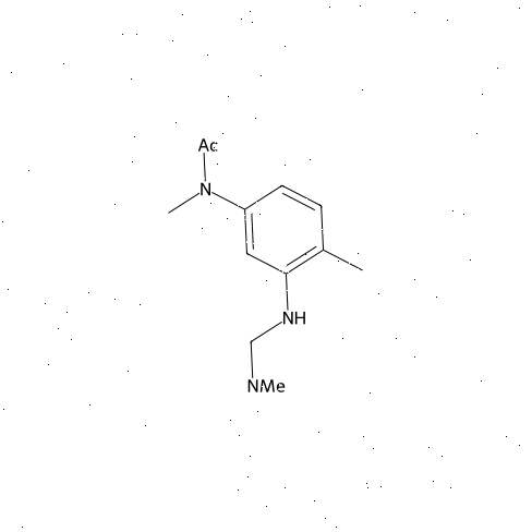 CNCNc1cc(N(C)C(C)=O)ccc1C